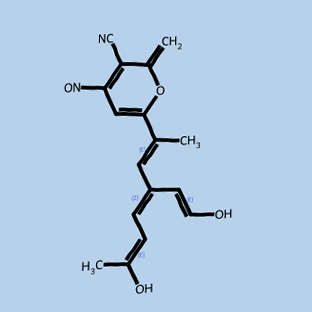 C=C1OC(/C(C)=C/C(=C/C=C(\C)O)/C=C/O)=CC(N=O)=C1C#N